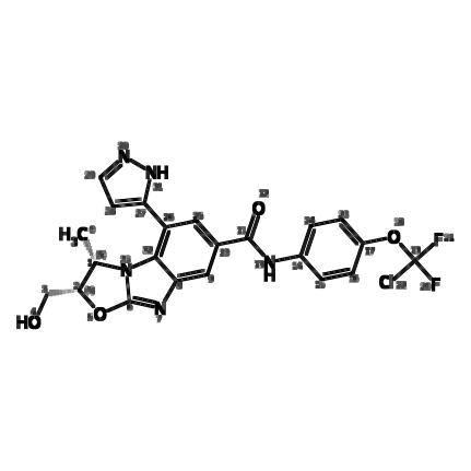 C[C@H]1[C@@H](CO)Oc2nc3cc(C(=O)Nc4ccc(OC(F)(F)Cl)cc4)cc(-c4ccn[nH]4)c3n21